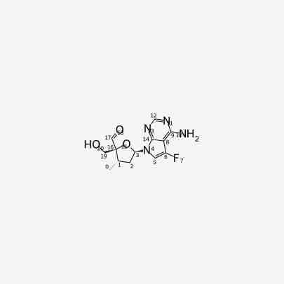 C[C@H]1C[C@H](n2cc(F)c3c(N)ncnc32)O[C@]1(C=O)CO